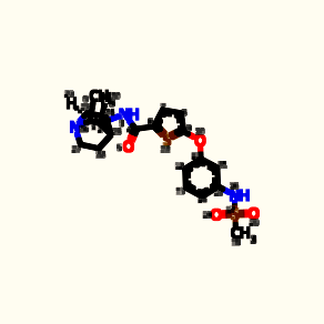 C[C@H]1[C@H](NC(=O)c2ccc(Oc3cccc(NS(C)(=O)=O)c3)s2)C2CCN1CC2